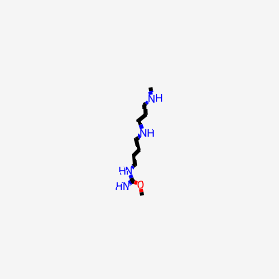 CNCCCNCCCCNC(=N)OC